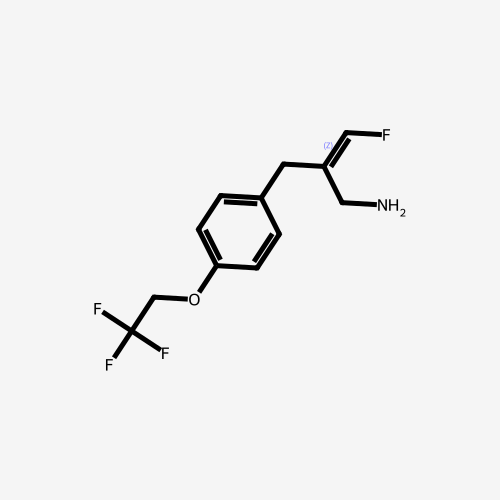 NC/C(=C\F)Cc1ccc(OCC(F)(F)F)cc1